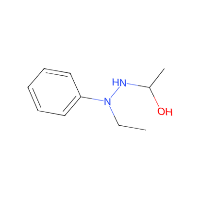 CCN(NC(C)O)c1ccccc1